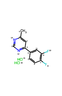 Cc1cc(-c2ccc(F)c(F)c2)ncn1.Cl.Cl